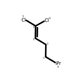 CC(C)CCC=C(Cl)Cl